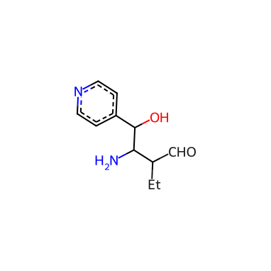 CCC(C=O)C(N)C(O)c1ccncc1